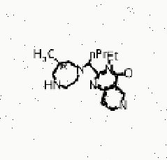 CCCC(c1nc2ccncc2c(=O)n1CC)N1CCNC[C@@H](C)C1